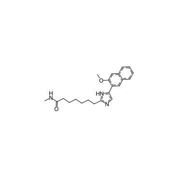 CNC(=O)CCCCCCc1ncc(-c2cc3ccccc3cc2OC)[nH]1